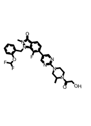 CC1CN(c2ncc(-c3ccc4c(=O)n(C)n(Cc5ccccc5OC(F)F)c4c3F)cn2)CCN1C(=O)CO